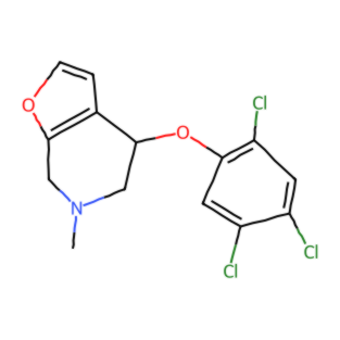 CN1Cc2occc2C(Oc2cc(Cl)c(Cl)cc2Cl)C1